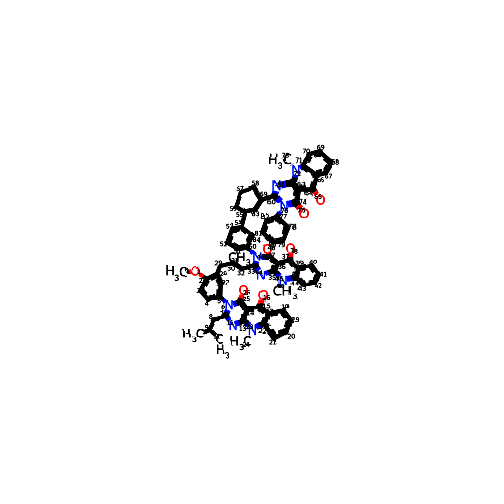 COc1ccc(-n2c(CC(C)C)nc3c(c(=O)c4ccccc4n3C)c2=O)cc1CC(C)Cc1nc2c(c(=O)c3ccccc3n2C)c(=O)n1-c1cccc(C2CCCC(c3nc4c(c(=O)c5ccccc5n4C)c(=O)n3-c3ccccc3)C2)c1